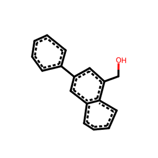 OCc1cc(-c2ccccc2)cc2ccccc12